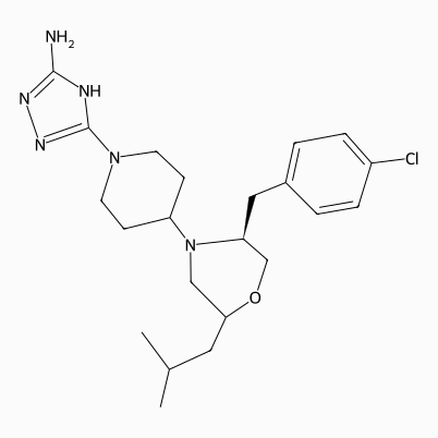 CC(C)CC1CN(C2CCN(c3nnc(N)[nH]3)CC2)[C@@H](Cc2ccc(Cl)cc2)CO1